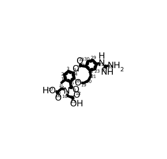 Cc1ccc2c(c1C(=O)N(CC(=O)O)CC(=O)O)OCCCc1cc(NC(=N)N)ccc1C(=O)O2